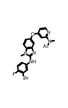 CC(=O)N(C)c1cc(Oc2ccc3c(c2)nc(Nc2ccc(F)c(C(C)C)c2)n3C)ccn1